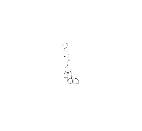 CC(CCC(=O)N1CCN(c2ccncn2)C[C@@H]1C)[C@H]1CC[C@H]2[C@@H]3CC=C4C[C@@H](O)CC[C@]4(C)[C@H]3CC[C@]12C